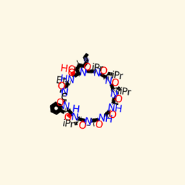 C/C=C/C[C@@H](C)[C@@H](O)[C@H]1C(=O)N[C@@H](CC)C(=O)N(C)CC(=O)N(C)[C@@H](Cc2ccccc2)C(=O)N[C@@H](CC(C)C)C(=O)N(C)[C@@H](C)C(=O)N[C@@H](C)C(=O)N[C@H](C)C(=O)N(C)[C@@H](CC(C)C)C(=O)N(C)[C@H](CC(C)C)C(=O)N(C)[C@@H](C(C)C)C(=O)N1C